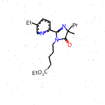 CCOC(=O)CCCCN1C(=O)C(C)(C(C)C)N=C1c1ccc(CC)cn1